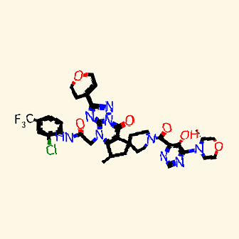 CC1CC2(CCN(C(=O)c3ncnc(N4CCOC[C@H]4C)c3O)CC2)c2c1n(CC(=O)Nc1ccc(C(F)(F)F)cc1Cl)c1nc(C3=CCOCC3)nn1c2=O